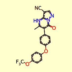 Cc1[nH]c2c(C#N)cnn2c(=O)c1-c1ccc(Oc2ccc(OC(F)(F)F)cc2)cc1